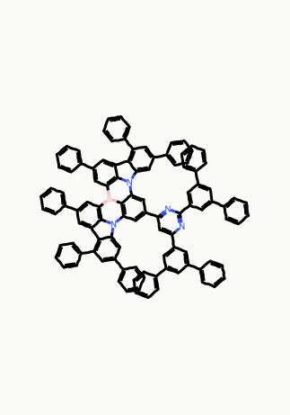 c1ccc(-c2cc(-c3ccccc3)cc(-c3cc(-c4cc5c6c(c4)-n4c7cc(-c8ccccc8)cc(-c8ccccc8)c7c7cc(-c8ccccc8)cc(c74)B6c4cc(-c6ccccc6)cc6c7c(-c8ccccc8)cc(-c8ccccc8)cc7n-5c46)nc(-c4cc(-c5ccccc5)cc(-c5ccccc5)c4)n3)c2)cc1